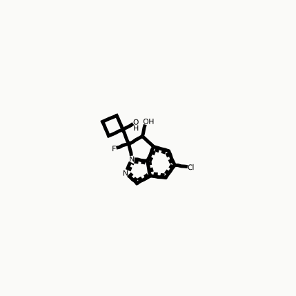 OC1c2cc(Cl)cc3cnn(c23)C1(F)C1(O)CCC1